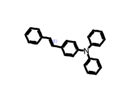 C(=C\c1ccc(N(c2ccccc2)c2ccccc2)cc1)/c1ccccc1